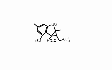 Cc1cc(C(C)(C)C)c(C2(C(=O)O)C(CC(Cl)(Cl)Cl)C2(C)C)c(C(C)(C)C)c1